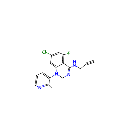 C#CCNC1=NCN(c2cccnc2C)c2cc(Cl)cc(F)c21